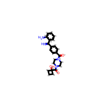 N=C(c1ccc(C(=O)N2CCN(C(=O)C3(O)CCC3)CC2)cc1)c1ccccc1N